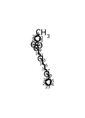 Cc1ccc(S(=O)(=O)OCCCOCCCCCOCc2ccccc2)cc1